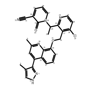 Cc1cc(-c2n[nH]cc2C)c2cccc(OCc3c(Cl)ccnc3C(C)n3cccc(C#N)c3=O)c2n1